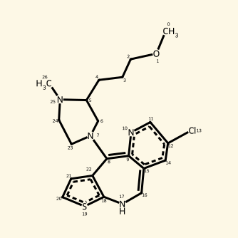 COCCCC1CN(C2=c3ncc(Cl)cc3=CNc3sccc32)CCN1C